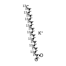 [13CH3][13CH2][13CH2][13CH2][13CH2][13CH2][13CH2][13CH2][13CH2][13CH2][13CH2][13CH2][13CH2][13CH2][13CH2][13C](=O)[O-].[K+]